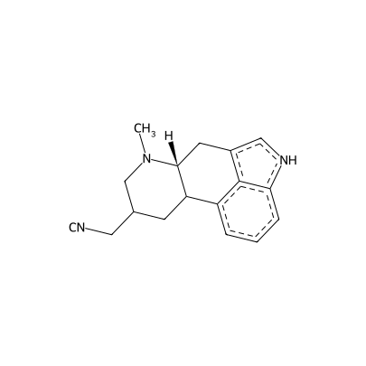 [C-]#[N+]CC1CC2c3cccc4[nH]cc(c34)C[C@H]2N(C)C1